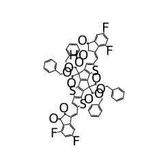 O=C1C(=O)c2c(F)cc(F)cc2/C1=C/c1cc2sc3c(c2s1)C(C(=O)OCc1ccccc1)(C(=O)OCc1ccccc1)C1=C3C(C(=O)OCc2ccccc2)(C(=O)OCc2ccccc2)c2cc(/C=C3/c4c(F)cc(F)cc4C(=O)C3O)sc21